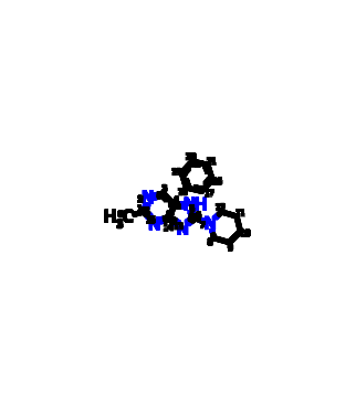 Cc1ncc2[nH]c(N3CCCCC3)nc2n1.c1ccccc1